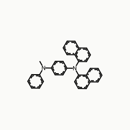 CN(c1ccccc1)c1ccc(N(c2cccc3ccccc23)c2cccc3ccccc23)cc1